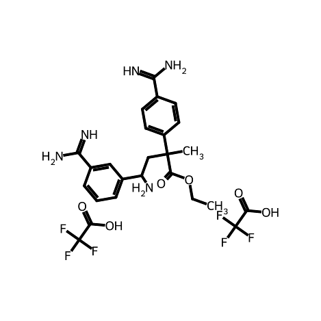 CCOC(=O)C(C)(CC(N)c1cccc(C(=N)N)c1)c1ccc(C(=N)N)cc1.O=C(O)C(F)(F)F.O=C(O)C(F)(F)F